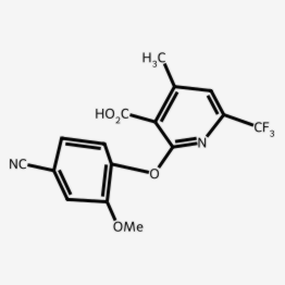 COc1cc(C#N)ccc1Oc1nc(C(F)(F)F)cc(C)c1C(=O)O